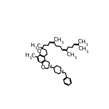 CC(C)=CCCC(C)=CCCC(C)=CCCC1(C)CCc2c3c(cc(C)c2O1)OCN(C1CCN(Cc2ccccc2)CC1)C3